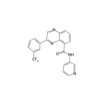 O=C(Nc1cccnc1)c1cccc2ncc(-c3cccc(C(F)(F)F)c3)nc12